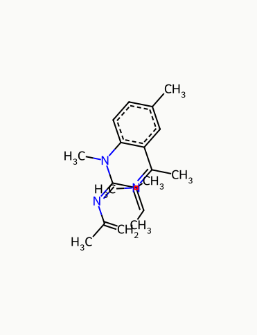 C=C(C)/N=C(\C(C)=C/C)N(C)c1ccc(C)cc1/C(C)=N\C